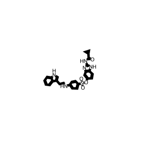 O=C(Nc1nc2cc(OS(=O)(=O)c3ccc(NCCc4c[nH]c5ccccc45)cc3)ccc2[nH]1)C1CC1